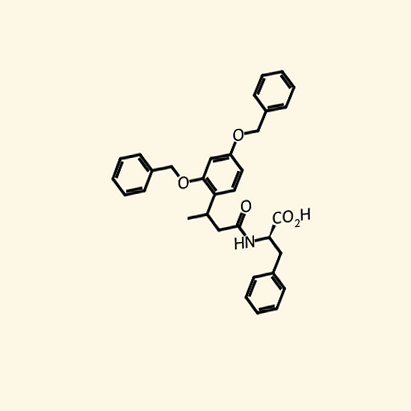 CC(CC(=O)N[C@H](Cc1ccccc1)C(=O)O)c1ccc(OCc2ccccc2)cc1OCc1ccccc1